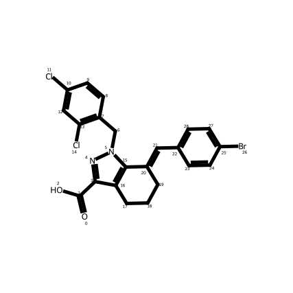 O=C(O)c1nn(Cc2ccc(Cl)cc2Cl)c2c1CCC/C2=C\c1ccc(Br)cc1